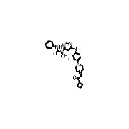 CN(C(=O)Nc1ccccc1)c1cc(Nc2ccc(N3CCN(CC(=O)C4CCC4)CC3)cc2)ncn1